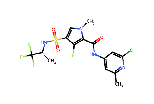 Cc1cc(NC(=O)c2c(F)c(S(=O)(=O)N[C@H](C)C(F)(F)F)cn2C)cc(Cl)n1